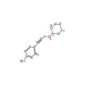 Brc1ccc(C#CCOC2CCCCO2)nc1